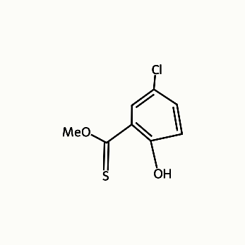 COC(=S)c1cc(Cl)ccc1O